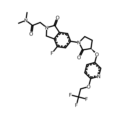 CN(C)C(=O)CN1Cc2c(F)cc(N3CC[C@@H](Oc4ccc(OCC(F)(F)F)nc4)C3=O)cc2C1=O